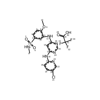 CNS(=O)(=O)c1ccc(OC)c(Nc2cc(Nc3ccc(Cl)cn3)ncn2)c1.O=C(O)C(F)(F)F